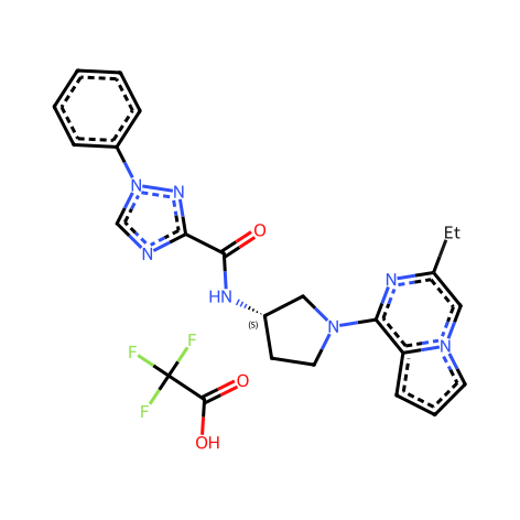 CCc1cn2cccc2c(N2CC[C@H](NC(=O)c3ncn(-c4ccccc4)n3)C2)n1.O=C(O)C(F)(F)F